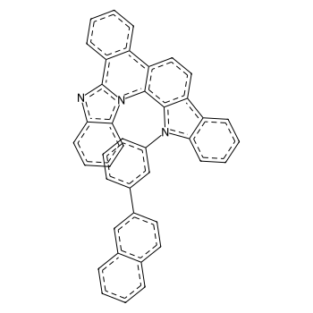 c1cc(-c2ccc3ccccc3c2)cc(-n2c3ccccc3c3ccc4c5ccccc5c5nc6ccccc6n5c4c32)c1